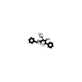 COC[C@@H](C(=N)C(=O)c1ccccc1)C(=O)NCc1ccccc1